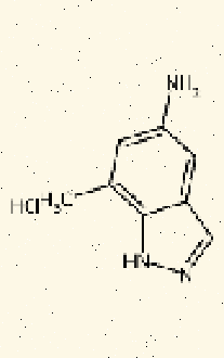 Cc1cc(N)cc2cn[nH]c12.Cl